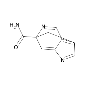 NC(=O)C12C=C3N=CC(=C3C=N1)C2